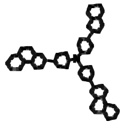 c1ccc2cc(-c3ccc(N(c4ccc(-c5ccc6c(ccc7ccccc76)c5)cc4)c4ccc(-c5ccc6c(ccc7ccccc76)c5)cc4)cc3)ccc2c1